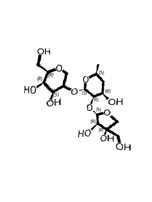 C[C@H]1C[C@@H](O)[C@@H](O[C@@H]2OC[C@](O)(CO)[C@H]2O)[C@H](OC2CO[C@H](CO)[C@H](O)[C@@H]2O)O1